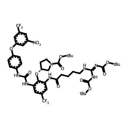 CC(C)(C)OC(=O)/N=C(/NCCCCC(=O)Nc1cc(C(F)(F)F)cc(NC(=O)Nc2ccc(Oc3cc([N+](=O)[O-])cc(C(F)(F)F)c3)cc2)c1O[C@@H]1CCN(C(=O)OC(C)(C)C)C1)NC(=O)OC(C)(C)C